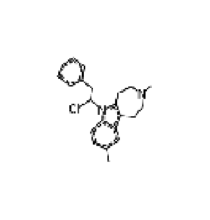 Cc1ccc2c(c1)c1c(n2C(Cl)Cc2ccccc2)CCN(C)CC1